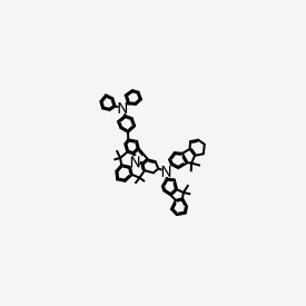 CC1(C)C2=C(C=CCC2)c2ccc(N(c3ccc4c(c3)C(C)(C)c3ccccc3-4)C3C=c4c5n6c7c(cc(-c8ccc(N(c9ccccc9)c9ccccc9)cc8)cc47)C(C)(C)c4cccc(c4-6)C(C)(C)C=5C3)cc21